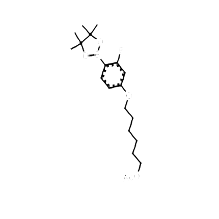 CC(=O)OCCCCCCOc1ccc(B2OC(C)(C)C(C)(C)O2)c(F)c1